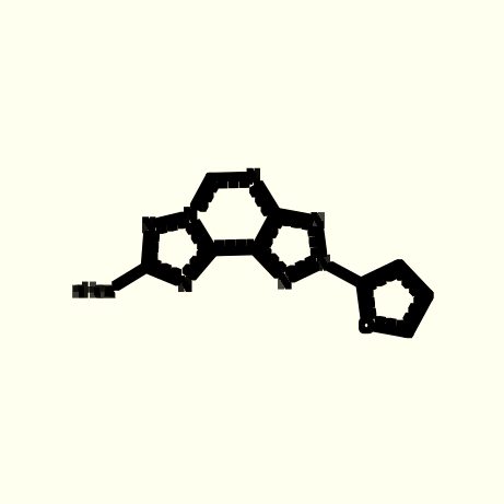 CCCCCCc1nc2c3nn(-c4ccco4)nc3ncn2n1